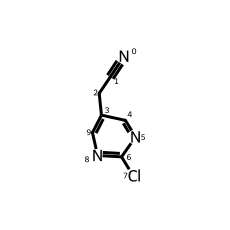 N#CCc1cnc(Cl)nc1